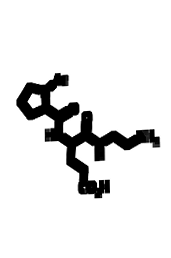 CC(=O)N1CCCC1C(=O)NC(CCC(=O)O)C(=O)NCCN